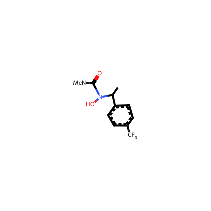 CNC(=O)N(O)C(C)c1ccc(C(F)(F)F)cc1